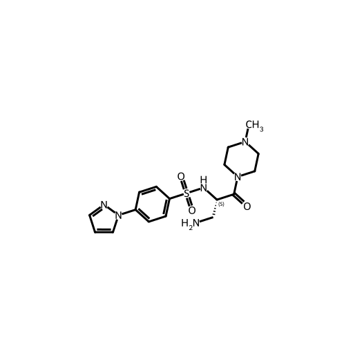 CN1CCN(C(=O)[C@H](CN)NS(=O)(=O)c2ccc(-n3cccn3)cc2)CC1